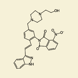 O=C1c2cccc([N+](=O)[O-])c2C(=O)N1c1cc(CN2CCN(CCO)CC2)ccc1/C=C/c1n[nH]c2ccccc12